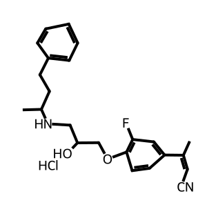 C/C(=C/C#N)c1ccc(OCC(O)CNC(C)CCc2ccccc2)c(F)c1.Cl